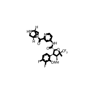 COc1c([C@H]2[C@H](C(=O)Nc3ccnc(C(=O)N4C[C@@H]5C[C@H]4CN5)c3)O[C@@](C)(C(F)(F)F)[C@H]2C)ccc(F)c1F